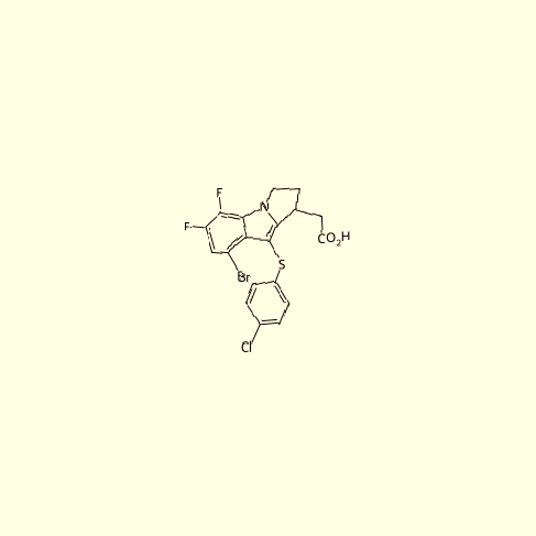 O=C(O)CC1CCn2c1c(Sc1ccc(Cl)cc1)c1c(Br)cc(F)c(F)c12